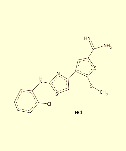 CSc1sc(C(=N)N)cc1-c1csc(Nc2ccccc2Cl)n1.Cl